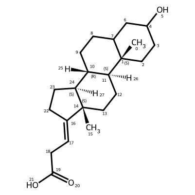 C[C@]12CCC(O)CC1CC[C@@H]1[C@@H]2CC[C@]2(C)C(=CCC(=O)O)CC[C@@H]12